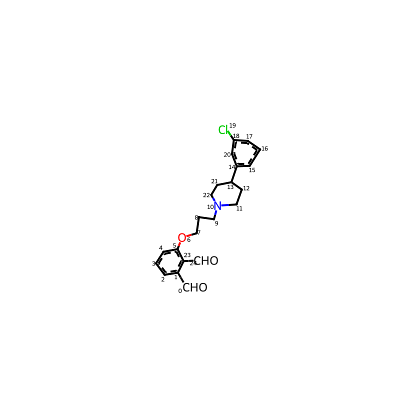 O=Cc1cccc(OCCCN2CCC(c3cccc(Cl)c3)CC2)c1C=O